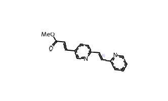 COC(=O)C=Cc1ccc(/C=C/c2ccccn2)nc1